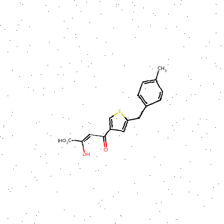 Cc1ccc(Cc2cc(C(=O)C=C(O)C(=O)O)cs2)cc1